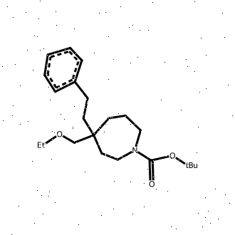 CCOCC1(CCc2ccccc2)CCCN(C(=O)OC(C)(C)C)CC1